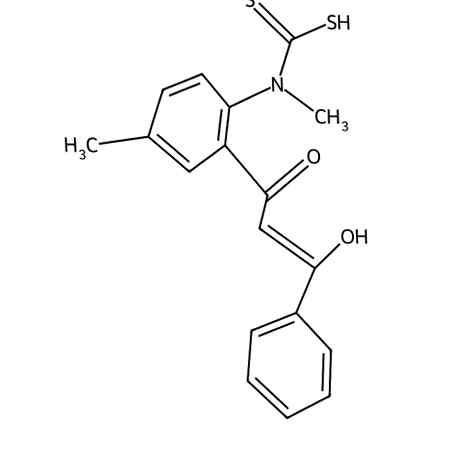 Cc1ccc(N(C)C(=S)S)c(C(=O)C=C(O)c2ccccc2)c1